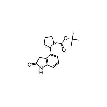 CC(C)(C)OC(=O)N1CCCC1c1cccc2c1CC(=O)N2